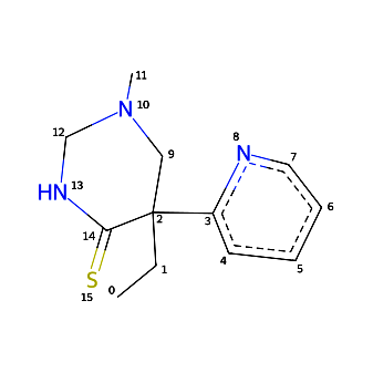 CCC1(c2ccccn2)CN(C)CNC1=S